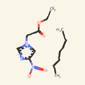 CCCCCC.CCOC(=O)Cn1cnc([N+](=O)[O-])c1